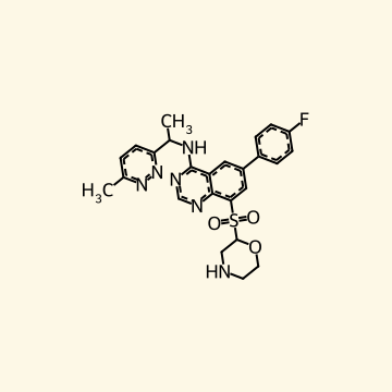 Cc1ccc(C(C)Nc2ncnc3c(S(=O)(=O)C4CNCCO4)cc(-c4ccc(F)cc4)cc23)nn1